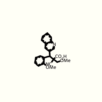 COCC(C#N)(C(=O)O)C(c1cnc2ccccc2c1)c1ccccc1OC